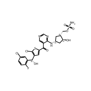 NS(=O)(=O)OC[C@H]1C[C@@H](Nc2ncncc2C(=O)c2cc([C@H](O)c3cc(Cl)ccc3F)c(Cl)s2)C[C@@H]1O